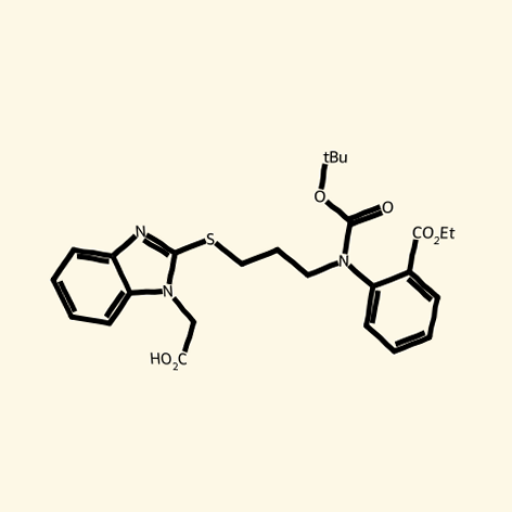 CCOC(=O)c1ccccc1N(CCCSc1nc2ccccc2n1CC(=O)O)C(=O)OC(C)(C)C